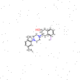 Cc1ccc(C)c(N2CCN([C@@H]3Cc4c(I)cccc4C[C@H]3O)CC2)c1